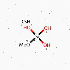 CO[Si](O)(O)O.[CsH]